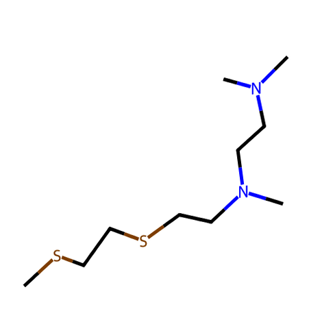 CSCCSCCN(C)CCN(C)C